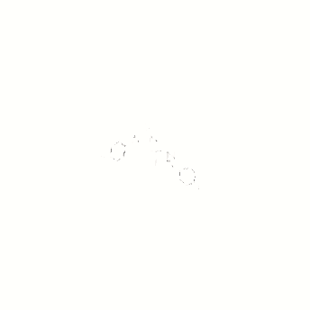 O=C(CN1CSC(S)N(c2ccc(F)cc2)C1)NNc1ccc(Cl)cc1